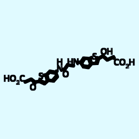 O=C(O)CCC(=O)c1cc2ccc(NC(=O)CCNc3ccc4cc(C(O)CCC(=O)O)sc4c3)cc2s1